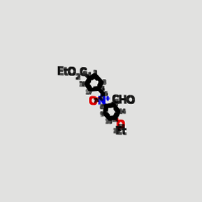 CCOC(=O)c1ccc(C=[N+]([O-])c2ccc(OCC)cc2C=O)cc1